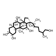 CC(CO)CCC[C@@H](C)[C@H]1CC[C@H]2[C@@H]3[C@H](O)C[C@@H]4C[C@H](O)[C@@H](O)C[C@]4(C)[C@H]3C[C@H](O)[C@]12C